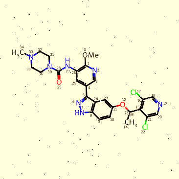 COc1ncc(-c2n[nH]c3ccc(O[C@H](C)c4c(Cl)cncc4Cl)cc23)cc1NC(=O)N1CCN(C)CC1